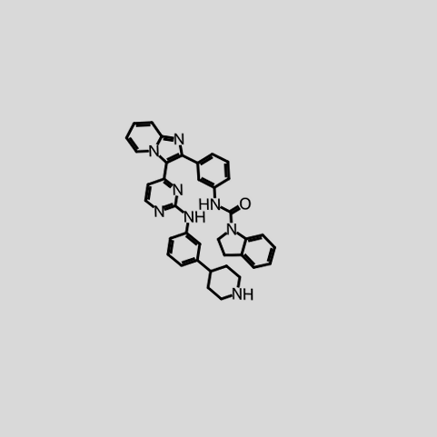 O=C(Nc1cccc(-c2nc3ccccn3c2-c2ccnc(Nc3cccc(C4CCNCC4)c3)n2)c1)N1CCc2ccccc21